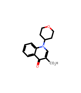 O=C(O)c1cn(C2CCOCC2)c2ccccc2c1=O